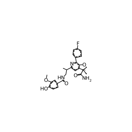 COc1cc(C(=O)NCC(C)c2cc3c(c(-c4ccc(F)cc4)n2)OC[C@]3(C)C(N)=O)ccc1O